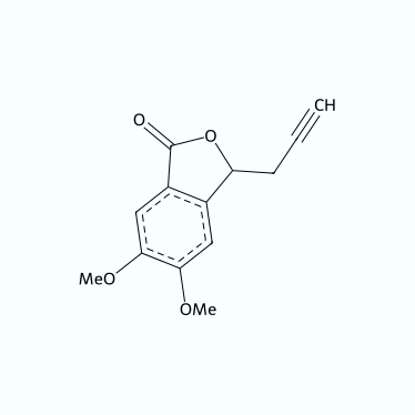 C#CCC1OC(=O)c2cc(OC)c(OC)cc21